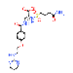 NC(=O)CCCS(=O)(=O)N[C@@H](CNC(=O)c1ccc(OCCNC2=NCCCN2)cc1)C(=O)O